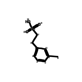 Cc1cccc(CCS(=O)(=O)O)c1